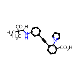 CC(C)(CNc1cccc(C#Cc2cccc(C(=O)O)c2-n2cccc2)c1)C(=O)O